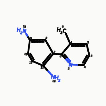 Cc1cccnc1-c1cc(N)ccc1N